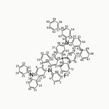 Fc1cccc(N(c2ccc3c(c2)c2ccccc2n3-c2ccccc2)c2cc3c(c4ccccc24)-c2ccc(-n4c5cc(-c6ccccc6)ccc5c5ccc(-c6ccccc6)cc54)cc2C3(c2ccccc2)c2ccccc2)c1